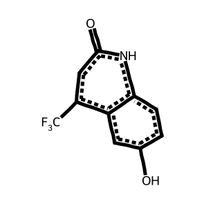 O=c1cc(C(F)(F)F)c2cc(O)ccc2[nH]1